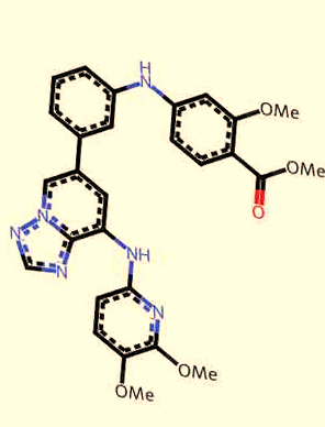 COC(=O)c1ccc(Nc2cccc(-c3cc(Nc4ccc(OC)c(OC)n4)c4ncnn4c3)c2)cc1OC